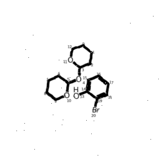 C1CCC(OC2CCCCO2)OC1.Oc1ccccc1Br